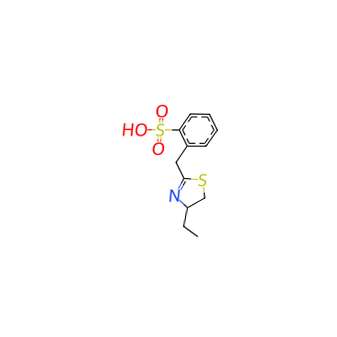 CCC1CSC(Cc2ccccc2S(=O)(=O)O)=N1